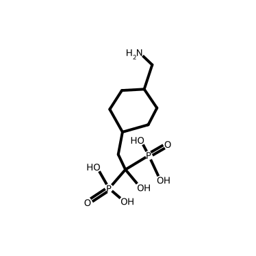 NCC1CCC(CC(O)(P(=O)(O)O)P(=O)(O)O)CC1